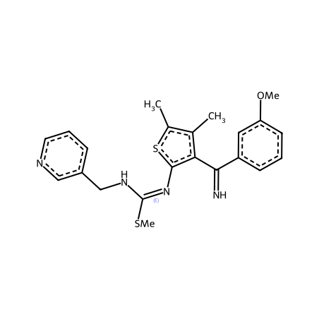 COc1cccc(C(=N)c2c(/N=C(\NCc3cccnc3)SC)sc(C)c2C)c1